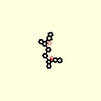 c1cc(-c2cccc(-c3cc4ccccc4c4c3oc3cc5ccccc5cc34)c2)cc(-c2cc3ccccc3c3c2oc2cc4ccccc4cc23)c1